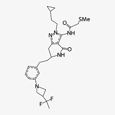 CSCC(=O)Nc1c2c(nn1CCC1CC1)CC(CCc1cccc(N3CC(C(C)(F)F)C3)c1)NC2=O